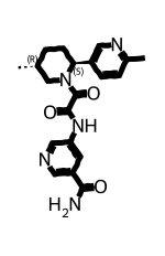 Cc1ccc([C@@H]2CC[C@@H](C)CN2C(=O)C(=O)Nc2cncc(C(N)=O)c2)cn1